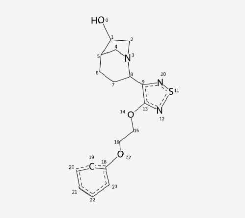 OC1CN2CC1CCC2c1nsnc1OCCOc1ccccc1